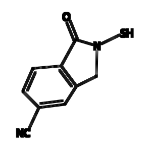 N#Cc1ccc2c(c1)CN(S)C2=O